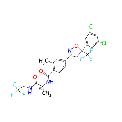 Cc1cc(C2=NOC(c3cc(Cl)cc(Cl)c3)(C(F)(F)F)C2)ccc1C(=O)N[C@H](C)C(=O)NCC(F)(F)F